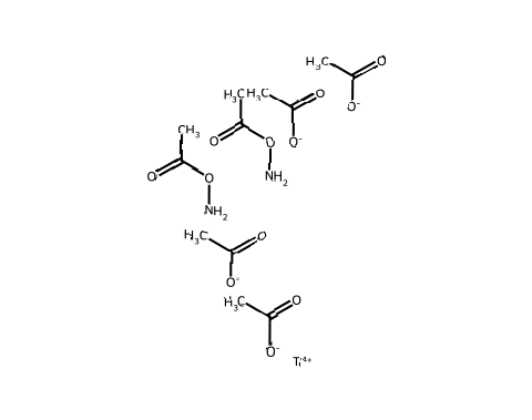 CC(=O)ON.CC(=O)ON.CC(=O)[O-].CC(=O)[O-].CC(=O)[O-].CC(=O)[O-].[Ti+4]